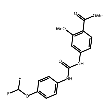 COC(=O)c1ccc(NC(=O)Nc2ccc(OC(F)F)cc2)cc1OC